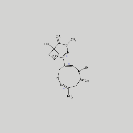 C=C(N(C)/N=C(C)/C1=C/N(CC)C(=O)C/C(N)=N\NC1)C1(O)CCC1